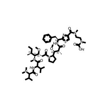 CC[C@H](C)[C@@H]([C@@H](CC(=O)N1CCCC1[C@H](OC)[C@@H](C)C(=O)N[C@@H](Cc1ccccc1)c1nc(C(=O)N(C)CCN(C)C(=O)O)cs1)OC)N(C)C(=O)C(NC(=O)C(C(C)C)N(C)C)C(C)C